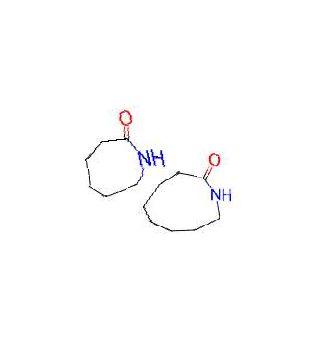 O=C1CCCCCCCN1.O=C1CCCCCN1